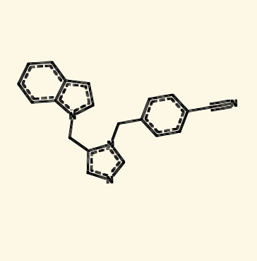 N#Cc1ccc(Cn2cncc2Cn2ccc3ccccc32)cc1